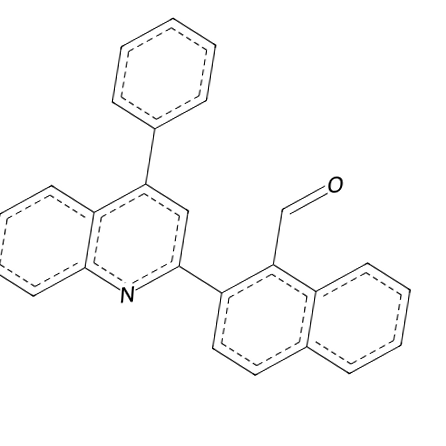 O=Cc1c(-c2cc(-c3ccccc3)c3ccccc3n2)ccc2ccccc12